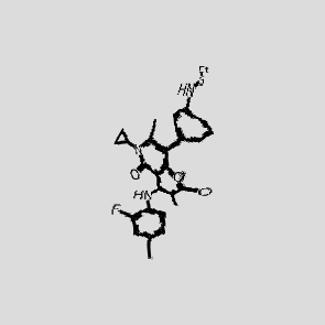 CCSNc1cccc(-c2c(C)n(C3CC3)c(=O)c3c(Nc4ccc(C)cc4F)c(C)c(=O)oc23)c1